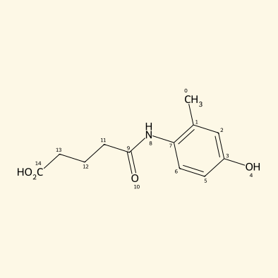 Cc1cc(O)ccc1NC(=O)CCCC(=O)O